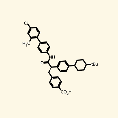 Cc1cc(Cl)ccc1-c1ccc(NC(=O)[C@H](Cc2ccc(C(=O)O)cc2)c2ccc(C3CCC(C(C)(C)C)CC3)cc2)cc1